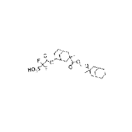 CC1(OCOC(=O)C2(C)CC3CCC(OC(=O)C(F)(F)S(=O)(=O)O)C(C3)C2)CC2CCCC(C2)C1